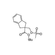 CC(C)(C)OC(=O)C1(COS(C)(=O)=O)Cc2ccccc2C1